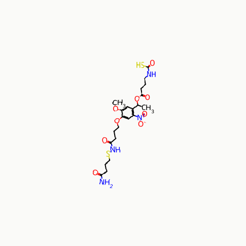 COc1cc(C(C)OC(=O)CCCNC(=O)S)c([N+](=O)[O-])cc1OCCCC(=O)NSCCCC(N)=O